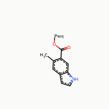 CCCC(C)OC(=O)c1cc2[nH]ccc2cc1C